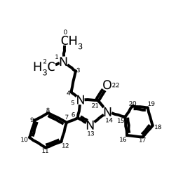 CN(C)CCn1c(-c2ccccc2)nn(-c2ccccc2)c1=O